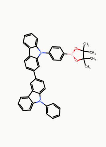 CC1(C)OB(c2ccc(-n3c4ccccc4c4ccc(-c5ccc6c(c5)c5ccccc5n6-c5ccccc5)cc43)cc2)OC1(C)C